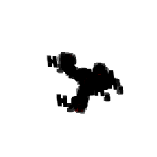 COc1c(OCc2ccc(OCC(=O)OC3(C)C4CC5CC(C4)CC3C5)cc2)cc([I+]c2cc(OCc3ccc(OCC(=O)OC4(C)C5CC6CC(C5)CC4C6)cc3)c(OC)c(OCc3ccc(OCC(=O)OC4(C)C5CC6CC(C5)CC4C6)cc3)c2)cc1OCc1ccc(OCC(=O)OC2(C)C3CC4CC(C3)CC2C4)cc1